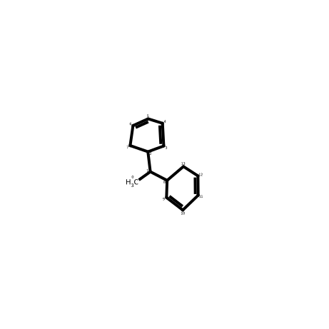 CC(C1C=CC=CC1)C1C=CC=CC1